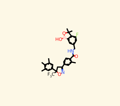 Cc1cc(C2=NOC(c3cc(C)c(C)c(C)c3)(C(F)(F)F)C2)ccc1C(=O)NCc1cc(F)c2c(c1)B(O)OC2(C)C